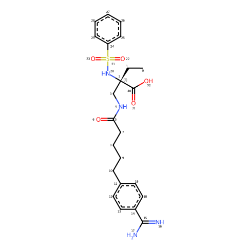 CC[C@@](CNC(=O)CCCCc1ccc(C(=N)N)cc1)(NS(=O)(=O)c1ccccc1)C(=O)O